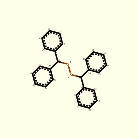 c1ccc(C(SSC(c2ccccc2)c2ccccc2)c2ccccc2)cc1